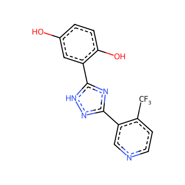 Oc1ccc(O)c(-c2nc(-c3cnccc3C(F)(F)F)n[nH]2)c1